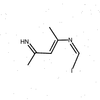 CC(=N)C=C(C)/N=C\I